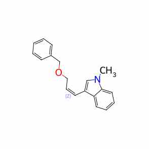 Cn1cc(/C=C\COCc2ccccc2)c2ccccc21